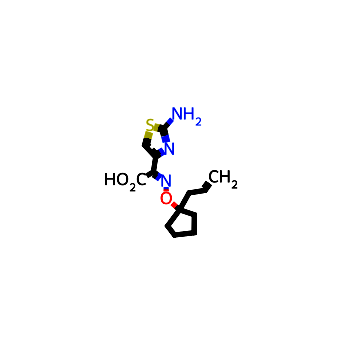 C=CCC1(ON=C(C(=O)O)c2csc(N)n2)CCCC1